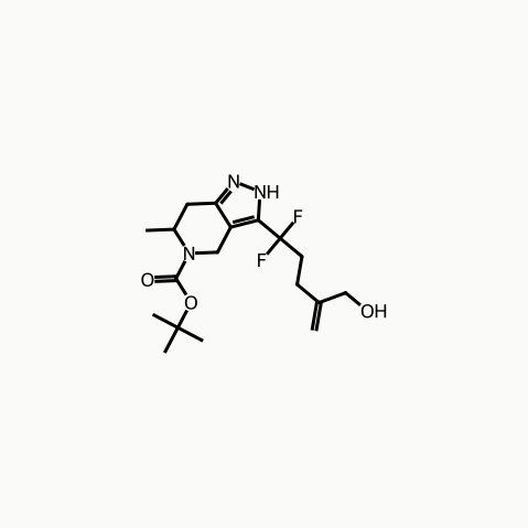 C=C(CO)CCC(F)(F)c1[nH]nc2c1CN(C(=O)OC(C)(C)C)C(C)C2